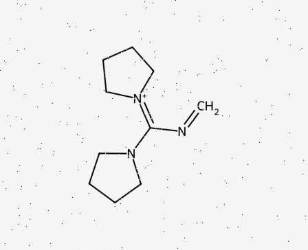 C=NC(N1CCCC1)=[N+]1CCCC1